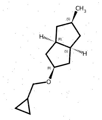 C[C@@H]1C[C@@H]2C[C@H](OCC3CC3)C[C@@H]2C1